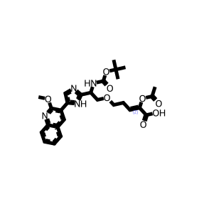 COc1nc2ccccc2cc1-c1cnc(C(COCC/C=C(\OC(C)=O)C(=O)O)NC(=O)OC(C)(C)C)[nH]1